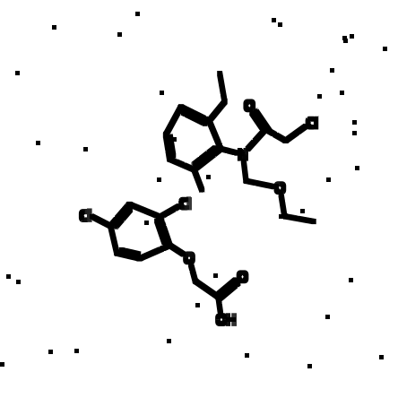 CCOCN(C(=O)CCl)c1c(C)cccc1CC.O=C(O)COc1ccc(Cl)cc1Cl